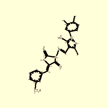 Cc1ccc(-n2nc(C)c(C=NN3C(=O)C(=Cc4cccc(C(=O)O)c4)SC3=S)c2O)cc1C